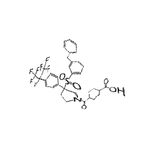 O=C(O)C1CCC(C(=O)N2CCC(c3ccc(C(F)(C(F)(F)F)C(F)(F)F)cc3)(S(=O)(=O)c3cccc(Cc4ccccc4)c3)C2)CC1